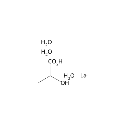 CC(O)C(=O)O.O.O.O.[La]